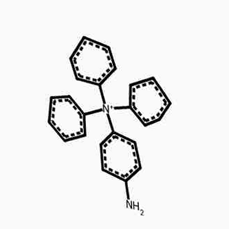 Nc1ccc([N+](c2ccccc2)(c2ccccc2)c2ccccc2)cc1